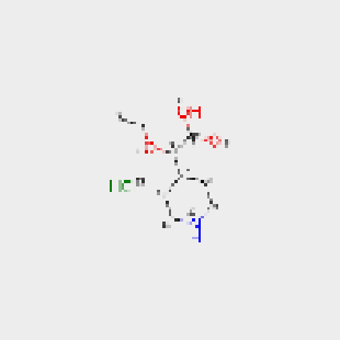 CCOC(C(=O)O)C1CCNCC1.Cl